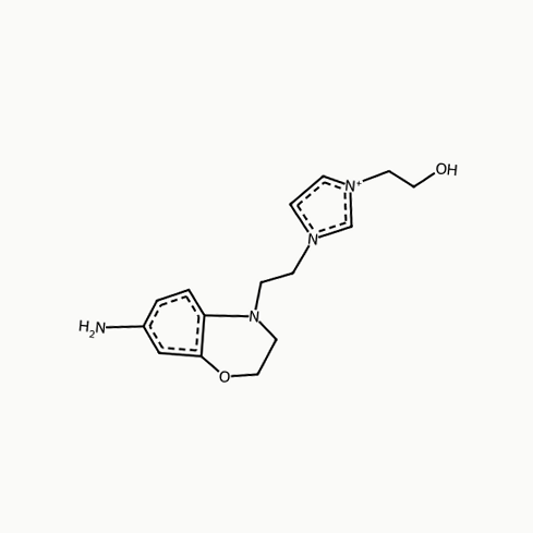 Nc1ccc2c(c1)OCCN2CCn1cc[n+](CCO)c1